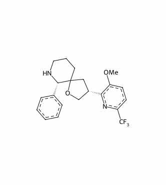 COc1ccc(C(F)(F)F)nc1[C@@H]1COC2(CCCN[C@H]2c2ccccc2)C1